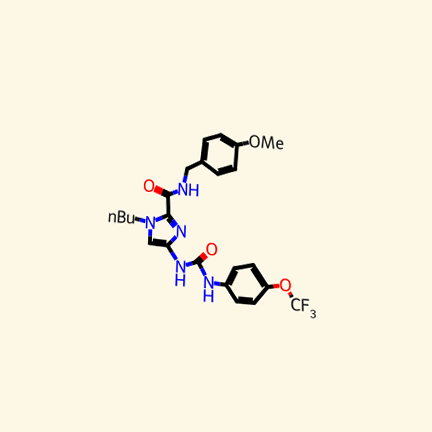 CCCCn1cc(NC(=O)Nc2ccc(OC(F)(F)F)cc2)nc1C(=O)NCc1ccc(OC)cc1